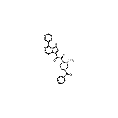 CC1CN(C(=O)c2ccccc2)CCN1C(=O)C(=O)c1c[nH]c2c(-c3cccnc3)nccc12